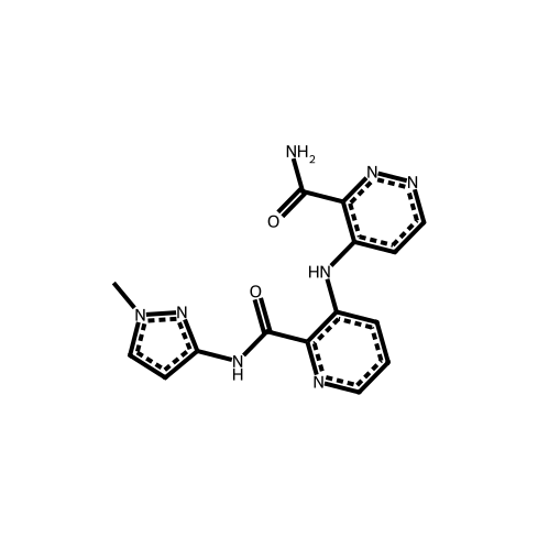 Cn1ccc(NC(=O)c2ncccc2Nc2ccnnc2C(N)=O)n1